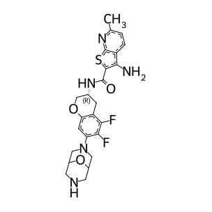 Cc1ccc2c(N)c(C(=O)N[C@H]3COc4cc(N5CC6CNCC(C5)O6)c(F)c(F)c4C3)sc2n1